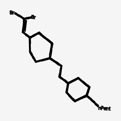 CCCCCC1CCC(CCC2CCC(C=C(Br)Br)CC2)CC1